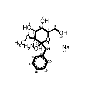 CO[C@@]1(N)[C@@H](O)[C@H](O)[C@@H](CO)OC1(O)Cc1ccccc1.[Na]